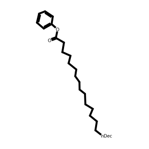 CCCCCCCCCCCCCCCCCCCCCCCCC(=O)Oc1ccccc1